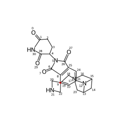 O=C1CCC(N2C(=O)c3ccc(N4C5CC4CN(CC4CNC4)C5)cc3C2=O)C(=O)N1